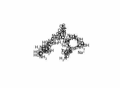 CC1(C)S[C@@H]2[C@H](NC(=O)[C@H](NC(=O)c3cnc4cccnc4c3O)c3ccccc3)C(=O)N2[C@H]1C(=O)[O-].CC[C@H](C)[C@@H]1N=C(O)[C@H](Cc2ccc(O)cc2)N=C(O)[C@@H](N)CSSC[C@@H](C(=O)N2CCC[C@H]2C(=O)N[C@@H](CC(C)C)C(=O)NCC(N)=O)N=C(O)[C@H](CC(N)=O)N=C(O)[C@H](CC(N)=O)N=C1O.CN[C@@H]1[C@@H](O[C@H]2O[C@H](CO)[C@@H](N)[C@H](O)[C@H]2O)O[C@H]2C[C@@H](N)[C@@H](O[C@H]3[C@H](O)[C@@H](O)[C@H](N)C[C@@H]3N)O[C@@H]2[C@@H]1O.[Na+]